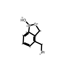 CC(C)Cc1cccc2c1COB2O